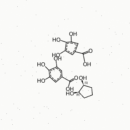 O=C(O)c1cc(O)c(O)c(O)c1.O=C(O)c1cc(O)c(O)c(O)c1.O[C@@H]1CCC[C@@H]1O